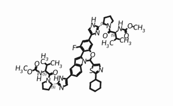 COC(=O)N[C@H](C(=O)N1CCC[C@H]1c1nc(-c2cc(F)c3c(c2)OC(c2cnc(C4CCCCC4)s2)n2c-3cc3cc(-c4cnc([C@@H]5CCCN5C(=O)[C@@H](NC(=O)OC)C(C)C)[nH]4)ccc32)c[nH]1)C(C)C